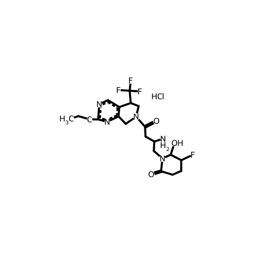 CCCc1ncc2c(n1)CN(C(=O)CC(N)CN1C(=O)CCC(F)C1O)CC2C(F)(F)F.Cl